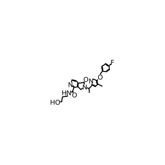 Cc1cc(C(C)N2Cc3c(ccnc3C(=O)NCCCO)C2=O)ncc1OCc1ccc(F)cc1